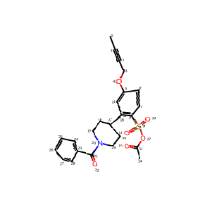 CC#CCOc1ccc(S(=O)(=O)OC(C)=O)c(C2CCN(C(=O)c3ccccc3)CC2)c1